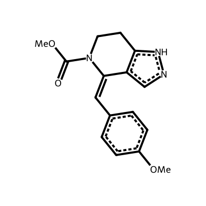 COC(=O)N1CCc2[nH]ncc2C1=Cc1ccc(OC)cc1